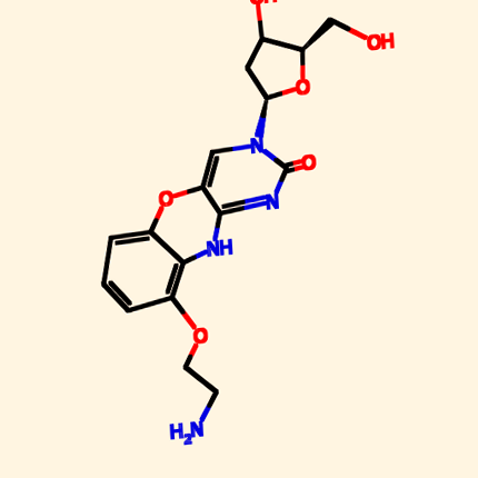 NCCOc1cccc2c1Nc1nc(=O)n([C@H]3CC(O)[C@@H](CO)O3)cc1O2